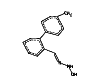 [CH2]c1ccc(-c2ccccc2C=NNO)cc1